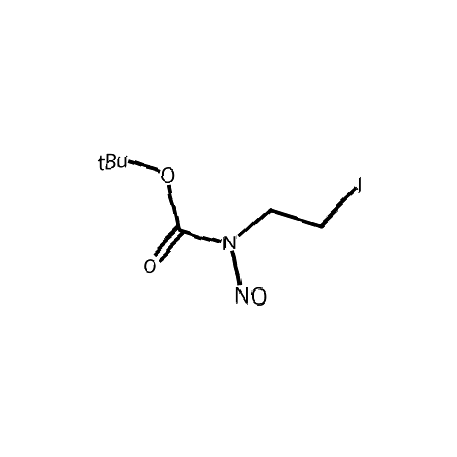 CC(C)(C)OC(=O)N(CCI)N=O